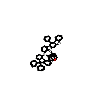 C1=CC(N(c2ccccc2)c2cccc3c2-c2ccccc2C3(c2ccccc2)c2ccccc2)C2C(=C1)c1c(cc3oc4ccccc4c3c1-c1ccccc1)N2c1ccccc1